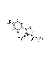 CCOC(=O)c1cnc(-c2ccc(Cl)cc2)n1C